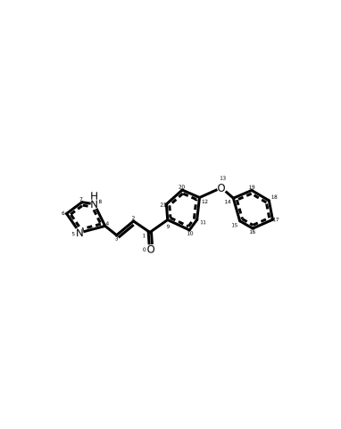 O=C(C=Cc1ncc[nH]1)c1ccc(Oc2ccccc2)cc1